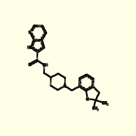 CC1(C)Cc2cccc(CN3CCC(CNC(=O)c4cc5cccnc5[nH]4)CC3)c2O1